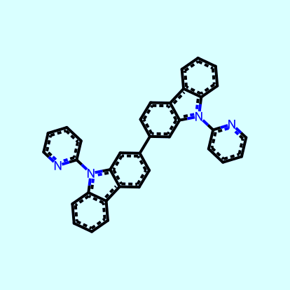 c1ccc(-n2c3ccccc3c3ccc(-c4ccc5c6ccccc6n(-c6ccccn6)c5c4)cc32)nc1